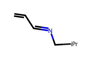 C=CC=NCC(C)C